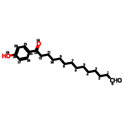 O=CCCCCCCCCCCCCC(=O)c1ccc(O)cc1